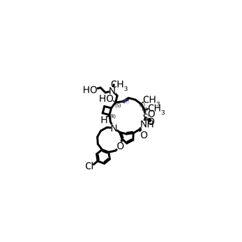 C[C@@H]1[C@@H](C)C/C=C/[C@](O)(CN(C)CCO)C2CC[C@H]2CN2CCCCc3cc(Cl)ccc3COc3ccc(cc32)C(=O)NS1(=O)=O